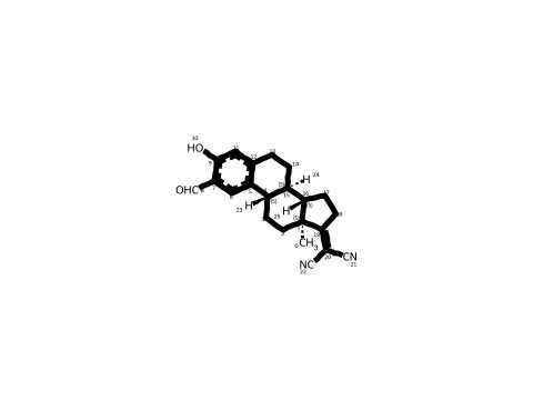 C[C@]12CC[C@@H]3c4cc(C=O)c(O)cc4CC[C@H]3[C@@H]1CCC2=C(C#N)C#N